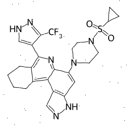 O=S(=O)(C1CC1)N1CCN(c2cc3[nH]ncc3c3c4c(c(-c5c[nH]nc5C(F)(F)F)nc23)CCCC4)CC1